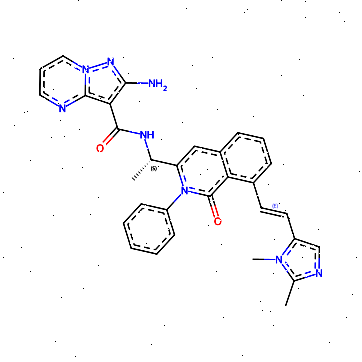 Cc1ncc(/C=C/c2cccc3cc([C@H](C)NC(=O)c4c(N)nn5cccnc45)n(-c4ccccc4)c(=O)c23)n1C